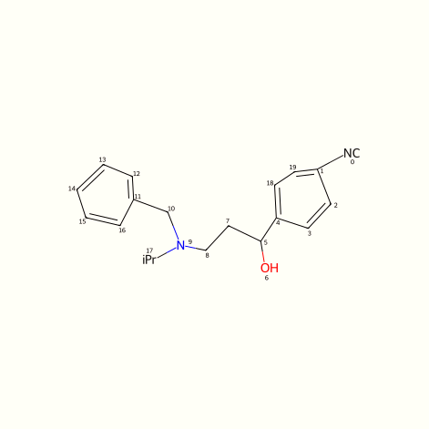 [C-]#[N+]c1ccc(C(O)CCN(Cc2ccccc2)C(C)C)cc1